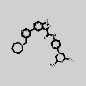 CC1CN(c2ccc(NC(=O)c3n[nH]c4ccc(-c5cncc(CN6CCCCCC6)c5)cc34)cn2)CC(C)O1